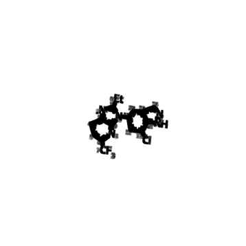 CCc1nc2ccc(C(F)(F)F)nc2n1-c1cc(Cl)c2[nH]ncc2c1